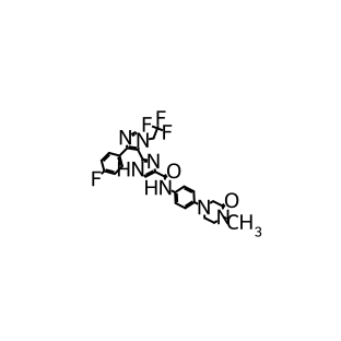 CN1CCN(c2ccc(NC(=O)c3c[nH]c(-c4c(-c5ccc(F)cc5)ncn4CC(F)(F)F)n3)cc2)CC1=O